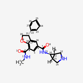 CNC(=O)c1cc(C(=O)N[C@H]2[C@@H]3CNC[C@@H]32)cc2c1OC[C@@H]2c1ccccc1